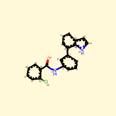 O=C(Nc1cccc(-c2cccc3cc[nH]c23)c1)c1ccccc1Cl